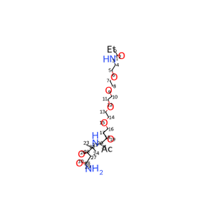 CCC(=O)NCCOCCOCCOCCOCCC(=O)C(NC(C)(C)C(=O)CC(N)=O)C(C)=O